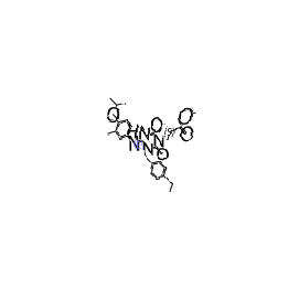 CCc1ccc(Cn2c(=O)n(C[C@H](C)C(=O)OC)c(=O)[nH]/c2=N\c2ccc(OC(C)C)c(C)c2)cc1